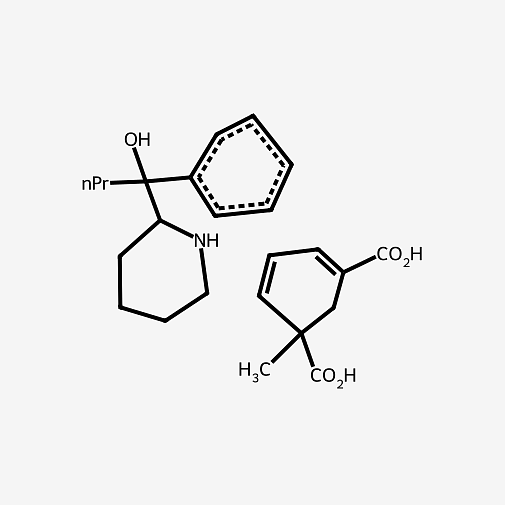 CC1(C(=O)O)C=CC=C(C(=O)O)C1.CCCC(O)(c1ccccc1)C1CCCCN1